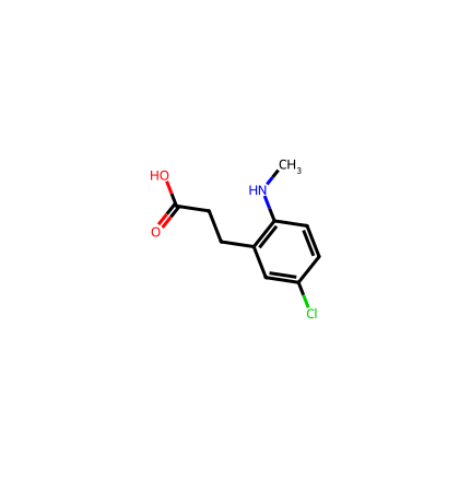 CNc1ccc(Cl)cc1CCC(=O)O